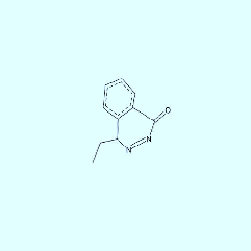 CCC1N=NC(=O)c2ccccc21